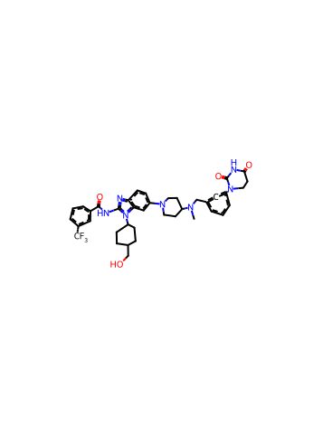 CN(Cc1cccc(N2CCC(=O)NC2=O)c1)C1CCN(c2ccc3nc(NC(=O)c4cccc(C(F)(F)F)c4)n(C4CCC(CO)CC4)c3c2)CC1